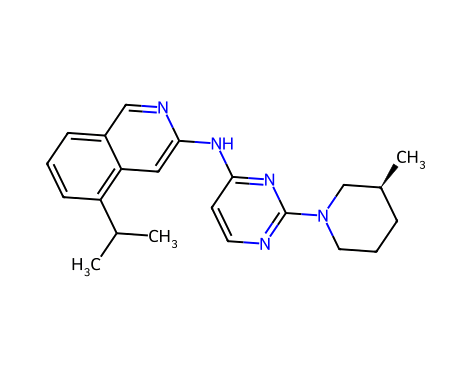 CC(C)c1cccc2cnc(Nc3ccnc(N4CCC[C@H](C)C4)n3)cc12